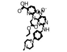 CCOC(=O)CN(c1cccc(C(=O)O)n1)c1nc(Nc2ccc(N3CCN(C)CC3)cc2)ncc1[N+](=O)[O-]